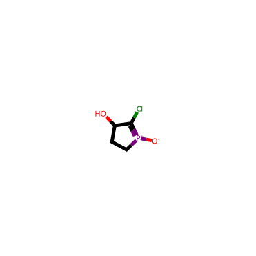 [O-][P+]1=C(Cl)C(O)CC1